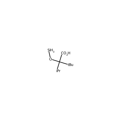 CC(C)C(O[SiH3])(C(=O)O)C(C)(C)C